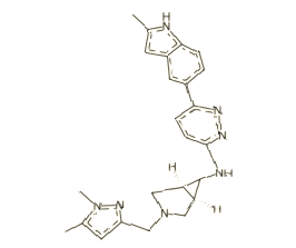 Cc1cc2cc(-c3ccc(NC4[C@H]5CN(Cc6cc(C)n(C)n6)C[C@@H]45)nn3)ccc2[nH]1